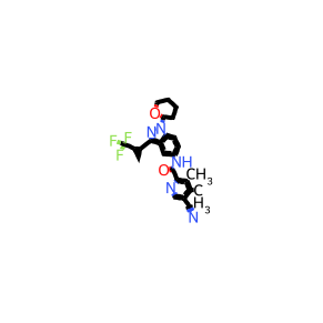 Cc1c(C#N)cnc(C(=O)Nc2ccc3c(c2)c(C2CC2C(F)(F)F)nn3C2CCCCO2)c1C